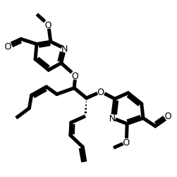 C=C/C=C\C[C@@H](Oc1ccc(C=O)c(OC)n1)C(C/C=C\CC)Oc1ccc(C=O)c(OC)n1